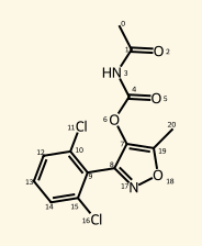 CC(=O)NC(=O)Oc1c(-c2c(Cl)cccc2Cl)noc1C